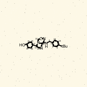 CC(C)(C)c1ccc(CNc2nccn3c(-c4ccc(O)cc4)cnc23)cc1